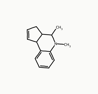 CC1C2CC=CC2c2ccccc2N1C